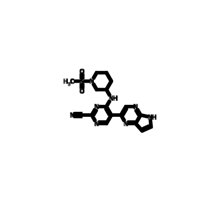 CS(=O)(=O)N1CCCC(Nc2nc(C#N)ncc2-c2cnc3[nH]ccc3n2)C1